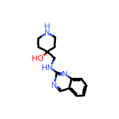 OC1(CNc2ncc3ccccc3n2)CCNCC1